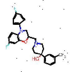 OC1(c2cccc(C(F)(F)F)c2)CCN(CC2CN(c3ccc(F)cc3)c3ccc(F)cc3O2)CC1